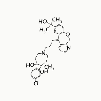 CC(C)(O)c1ccc2c(c1)/C(=C/CCN1CCC(C)(CO)C(O)(c3ccc(Cl)cc3)CC1)c1cccnc1CO2